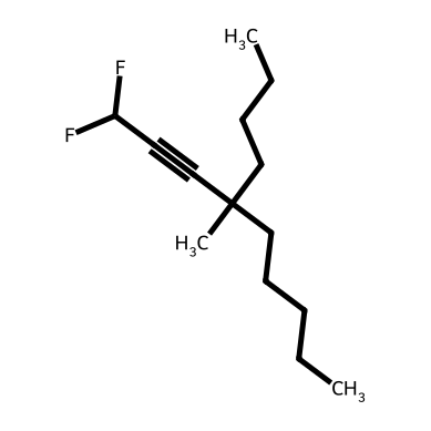 CCCCCC(C)(C#CC(F)F)CCCC